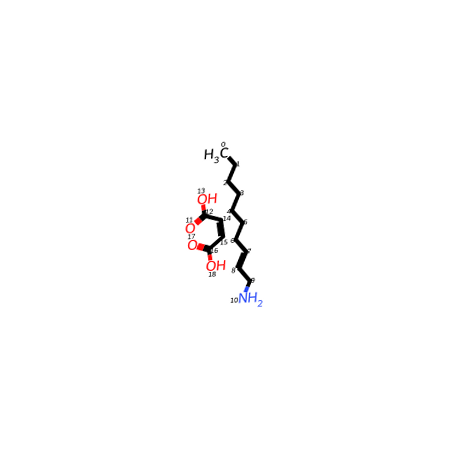 CCCCCCCC=CCN.O=C(O)/C=C\C(=O)O